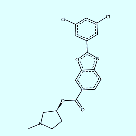 CN1CC[C@H](OC(=O)c2ccc3nc(-c4cc(Cl)cc(Cl)c4)oc3c2)C1